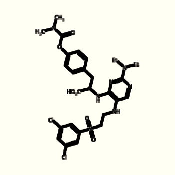 CCN(CC)c1ncc(NCCS(=O)(=O)c2cc(Cl)cc(Cl)c2)c(NC(Cc2ccc(OC(=O)N(C)C)cc2)C(=O)O)n1